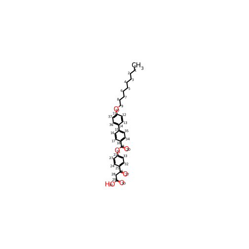 CCCCCCCCCCOc1ccc(-c2ccc(C(=O)Oc3ccc(C(=O)CC(=O)O)cc3)cc2)cc1